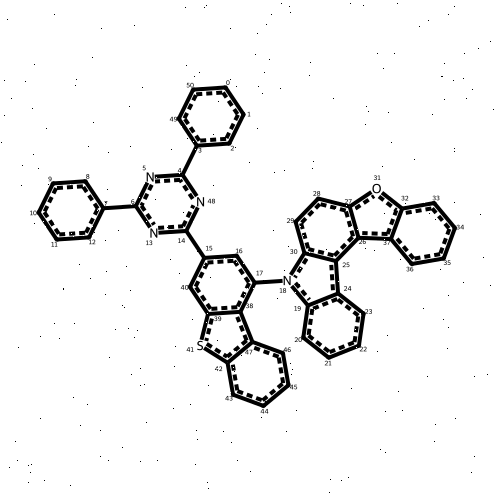 c1ccc(-c2nc(-c3ccccc3)nc(-c3cc(-n4c5ccccc5c5c6c(ccc54)oc4ccccc46)c4c(c3)sc3ccccc34)n2)cc1